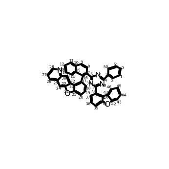 c1ccc(-c2nc(-c3ccc4ccccc4c3-c3cccc4oc5cc6cccnc6cc5c34)nc(-c3cccc4oc5ccccc5c34)n2)cc1